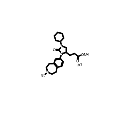 CCN1CCc2ccc(N3C(=O)N(C4CCCCC4)CC3CCC(=O)OC)cc2CC1.Cl